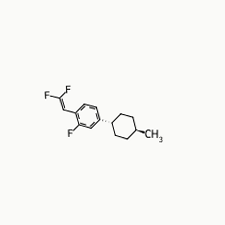 C[C@H]1CC[C@H](c2ccc(C=C(F)F)c(F)c2)CC1